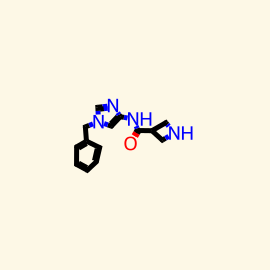 O=C(Nc1cn(Cc2ccccc2)cn1)C1CNC1